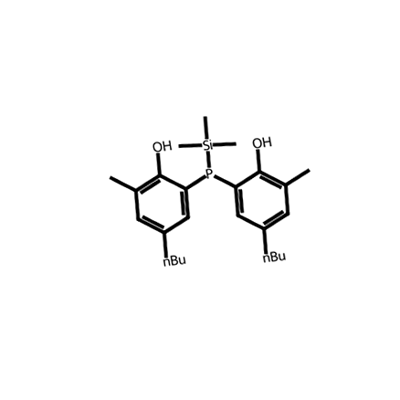 CCCCc1cc(C)c(O)c(P(c2cc(CCCC)cc(C)c2O)[Si](C)(C)C)c1